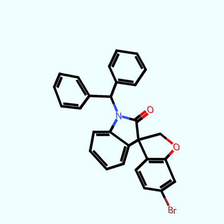 O=C1N(C(c2ccccc2)c2ccccc2)c2ccccc2C12COc1cc(Br)ccc12